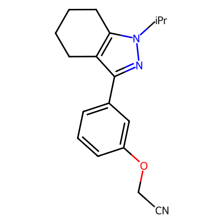 CC(C)n1nc(-c2cccc(OCC#N)c2)c2c1CCCC2